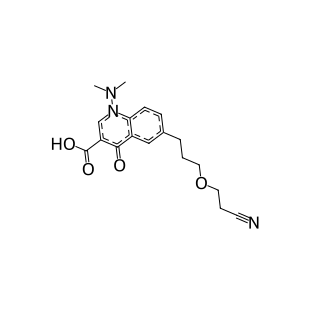 CN(C)n1cc(C(=O)O)c(=O)c2cc(CCCOCCC#N)ccc21